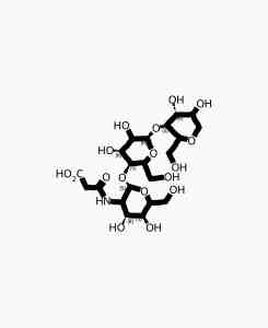 O=C(O)CC(=O)NC1[C@H](O[C@@H]2C(CO)O[C@H](O[C@@H]3C(CO)OCC(O)[C@H]3O)C(O)[C@H]2O)OC(CO)[C@@H](O)[C@@H]1O